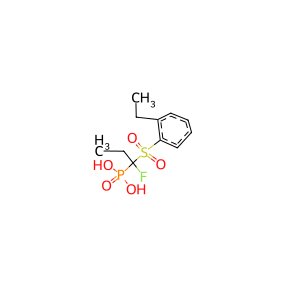 CCc1ccccc1S(=O)(=O)C(F)(CC)P(=O)(O)O